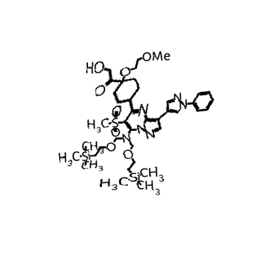 COCCOC1(C(=O)CO)CCC(c2nc3c(-c4cnn(-c5ccccc5)c4)cnn3c(N(COCC[Si](C)(C)C)COCC[Si](C)(C)C)c2S(C)(=O)=O)CC1